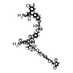 CC(C)C(NC(=O)CCOCCOCCOCCOCCN1C(=O)C=CC1=O)C(=O)NC(CCCNC(N)=O)C(=O)Nc1ccc(COC(=O)NCCOc2cnc3ccc(-c4[nH]c(CN)nc4-c4ccc(F)c(Cl)c4)cc3c2)cc1